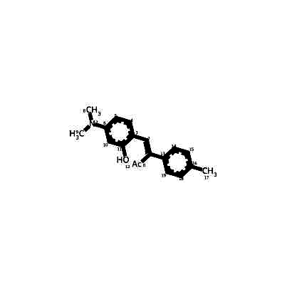 CC(=O)C(=Cc1ccc(N(C)C)cc1O)c1ccc(C)cc1